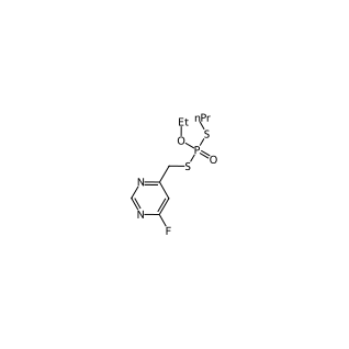 CCCSP(=O)(OCC)SCc1cc(F)ncn1